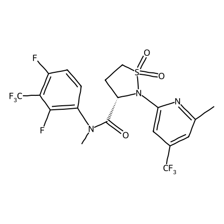 Cc1cc(C(F)(F)F)cc(N2[C@H](C(=O)N(C)c3ccc(F)c(C(F)(F)F)c3F)CCS2(=O)=O)n1